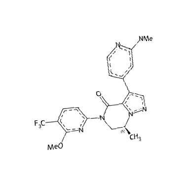 CNc1cc(-c2cnn3c2C(=O)N(c2ccc(C(F)(F)F)c(OC)n2)C[C@@H]3C)ccn1